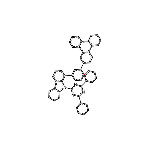 c1ccc(-c2nc(-c3ccccc3)nc(-n3c4ccccc4c4cccc(-c5cccc(-c6ccc7c8ccccc8c8ccccc8c7c6)c5)c43)n2)cc1